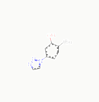 CC(C)(C)c1ccc(-n2ccnn2)cc1O